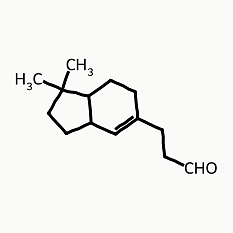 CC1(C)CCC2C=C(CCC=O)CCC21